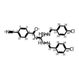 N#Cc1ccc(C(=O)N=C(N/N=C/c2ccc(Cl)cc2)N/N=C/c2ccc(Cl)cc2)cc1